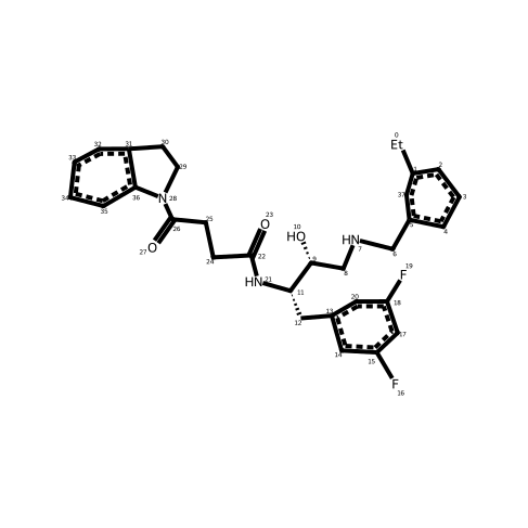 CCc1cccc(CNC[C@@H](O)[C@H](Cc2cc(F)cc(F)c2)NC(=O)CCC(=O)N2CCc3ccccc32)c1